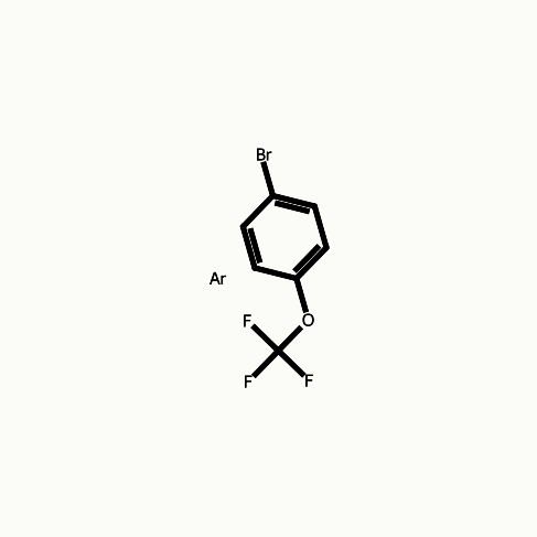 FC(F)(F)Oc1ccc(Br)cc1.[Ar]